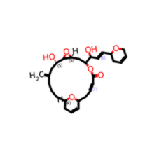 C=C1CCC[C@@H]2CC=CC(C/C=C\C(=O)OC(C(O)/C=C/C3CC=CCO3)C[C@@H]3OC3[C@@H](O)C1)O2